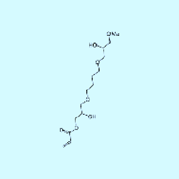 C=CC(=O)OCC(O)COCCCCOCC(O)COC